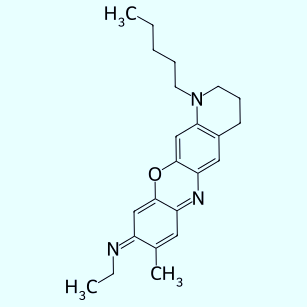 CCCCCN1CCCc2cc3nc4cc(C)/c(=N\CC)cc-4oc3cc21